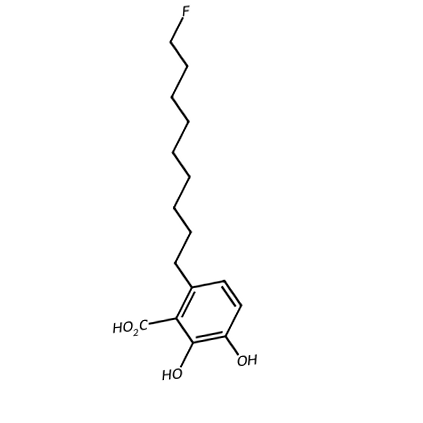 O=C(O)c1c(CCCCCCCCCF)ccc(O)c1O